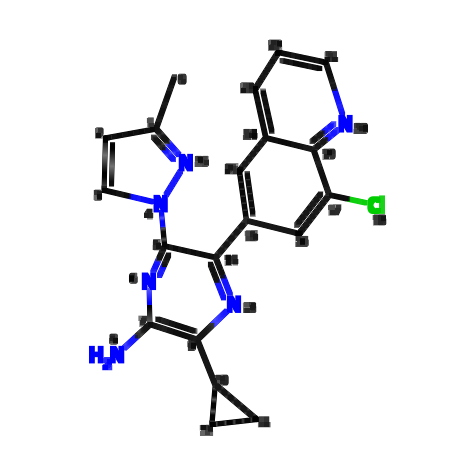 Cc1ccn(-c2nc(N)c(C3CC3)nc2-c2cc(Cl)c3ncccc3c2)n1